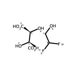 O=C(O)[C@@H](O)[C@H](O)C(=O)O.OCC(F)F